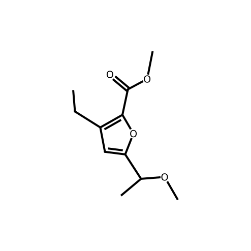 CCc1cc(C(C)OC)oc1C(=O)OC